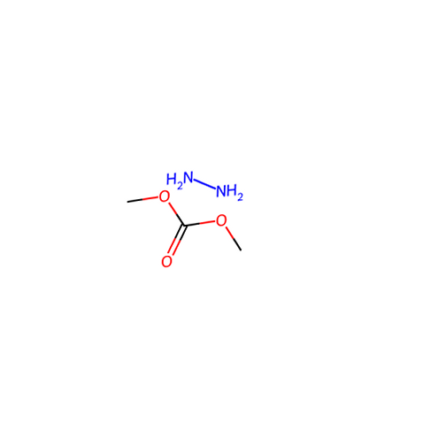 COC(=O)OC.NN